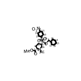 COC(=O)[C@@H]1CC[C@@H](N(OCc2ccccc2)S(=O)(=O)c2ccc([N+](=O)[O-])cc2)CN1C(C)=O